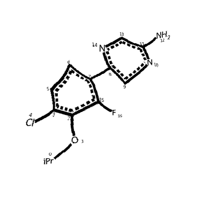 CC(C)Oc1c(Cl)ccc(-c2cnc(N)cn2)c1F